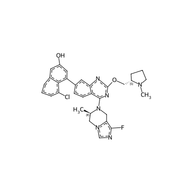 C[C@@H]1Cn2cnc(F)c2CN1c1nc(OC[C@@H]2CCCN2C)nc2cc(-c3cc(O)cc4cccc(Cl)c34)ccc12